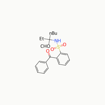 CCCCC(C=O)(CC)NS(=O)(=O)c1ccccc1C(=O)c1ccccc1